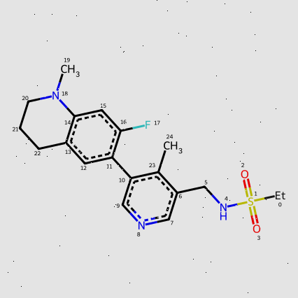 CCS(=O)(=O)NCc1cncc(-c2cc3c(cc2F)N(C)CCC3)c1C